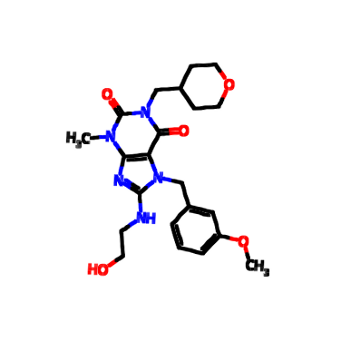 COc1cccc(Cn2c(NCCO)nc3c2c(=O)n(CC2CCOCC2)c(=O)n3C)c1